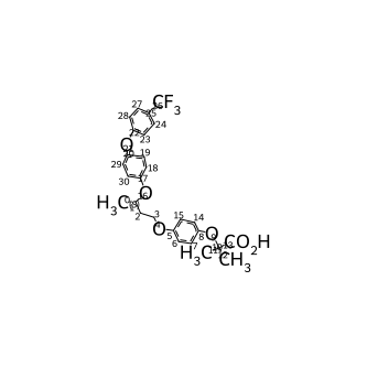 C[C@@H](CCOc1ccc(OC(C)(C)C(=O)O)cc1)Oc1ccc(Oc2ccc(C(F)(F)F)cc2)cc1